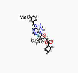 COc1cccc(CNc2ncnc3c2ncn3C2O[C@H](COC(=O)c3ccccc3)C(C)(OC(C)=O)[C@@]2(C)F)c1